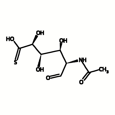 CC(=O)N[C@H](C=O)[C@@H](O)[C@H](O)[C@H](O)C(O)=S